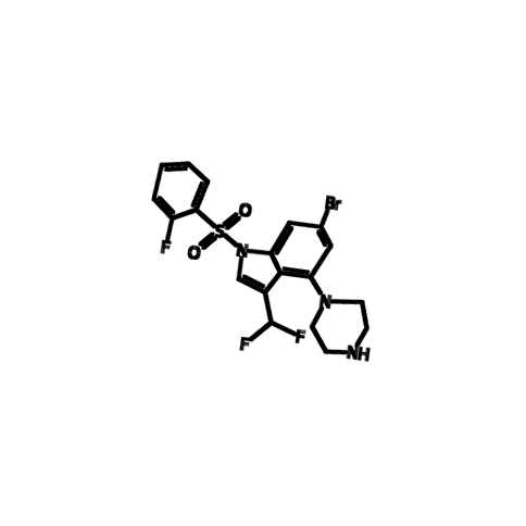 O=S(=O)(c1ccccc1F)n1cc(C(F)F)c2c(N3CCNCC3)cc(Br)cc21